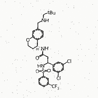 CC(C)(C)CNCc1ccc2c(c1)OCC[C@H]2NC(=O)CC(NS(=O)(=O)c1cccc(C(F)(F)F)c1)c1cc(Cl)cc(Cl)c1